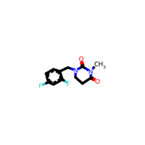 CN1C(=O)CCN(Cc2ccc(F)cc2F)C1=O